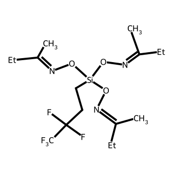 CCC(C)=NO[Si](CCC(F)(F)C(F)(F)F)(ON=C(C)CC)ON=C(C)CC